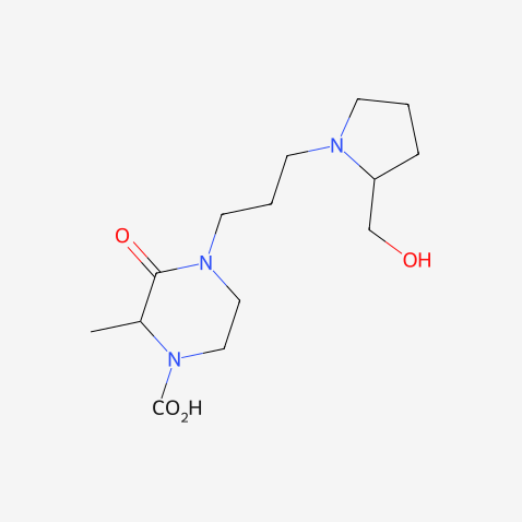 CC1C(=O)N(CCCN2CCCC2CO)CCN1C(=O)O